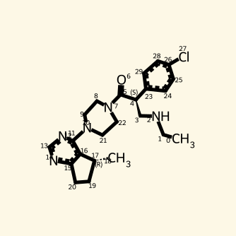 CCNC[C@@H](C(=O)N1CCN(c2ncnc3c2[C@H](C)CC3)CC1)c1ccc(Cl)cc1